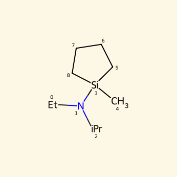 CCN(C(C)C)[Si]1(C)CCCC1